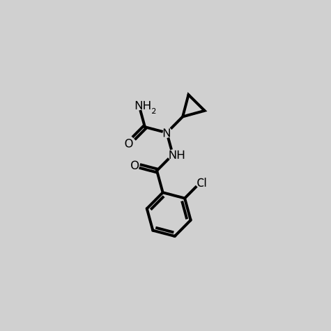 NC(=O)N(NC(=O)c1ccccc1Cl)C1CC1